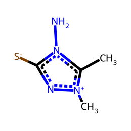 Cc1n(N)c([S-])n[n+]1C